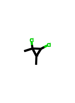 C[C]1C(Cl)C1(C)Cl